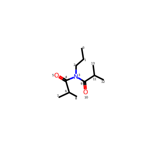 CCCN(C(=O)C(C)C)C(=O)C(C)C